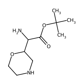 CC(C)(C)OC(=O)C(N)C1CNCCO1